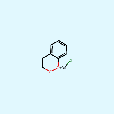 CC(C)(C)Cl.c1ccc2c(c1)CCOO2